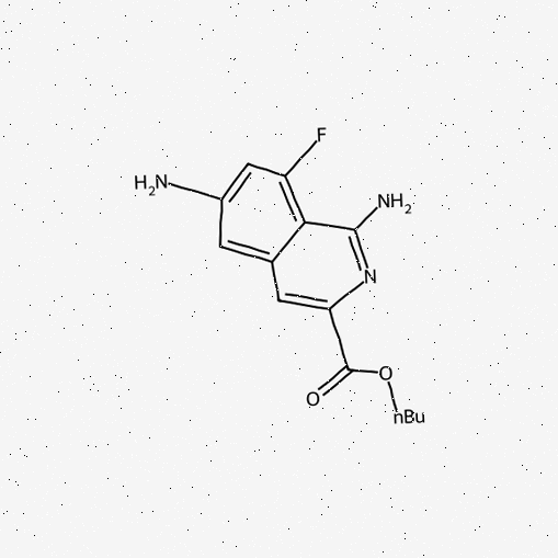 CCCCOC(=O)c1cc2cc(N)cc(F)c2c(N)n1